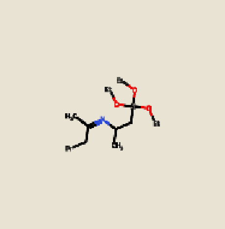 CCO[Si](CC(C)N=C(C)CC(C)C)(OCC)OCC